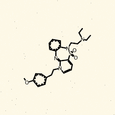 CCN(CC)CCN1c2ccccc2N=C2C(=CC=CN2CCc2ccc(OC)cc2)S1(=O)=O